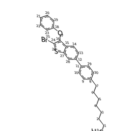 CCCCCCCCc1ccc(-c2ccc3c(Oc4ccccc4)c(Br)sc3c2)cc1